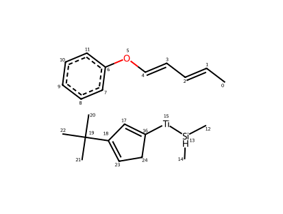 CC=CC=COc1ccccc1.C[SiH](C)[Ti][C]1=CC(C(C)(C)C)=CC1